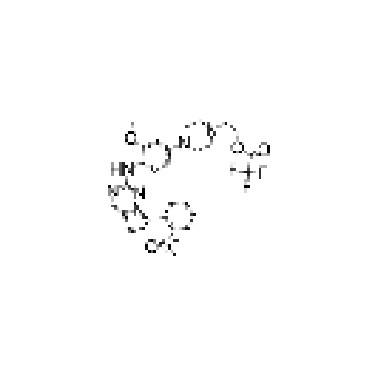 COc1cc(N2CCN(C[C@H](C)OC(=O)C(F)(F)F)CC2)ccc1Nc1ncc2ccc(-c3ccccc3[S+](C)[O-])n2n1